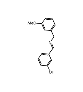 COc1cccc(CN=Cc2cccc(O)c2)c1